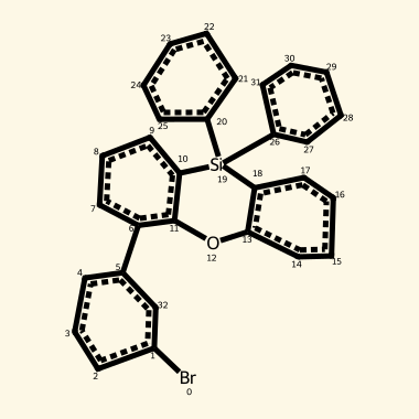 Brc1cccc(-c2cccc3c2Oc2ccccc2[Si]3(c2ccccc2)c2ccccc2)c1